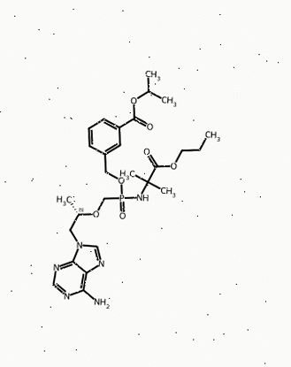 CCCOC(=O)C(C)(C)NP(=O)(CO[C@@H](C)Cn1cnc2c(N)ncnc21)OCc1cccc(C(=O)OC(C)C)c1